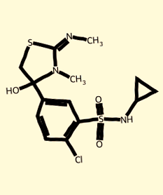 CN=C1SCC(O)(c2ccc(Cl)c(S(=O)(=O)NC3CC3)c2)N1C